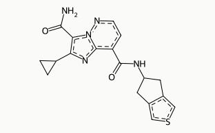 NC(=O)c1c(C2CC2)nc2c(C(=O)NC3Cc4cscc4C3)ccnn12